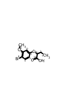 CCC(Oc1ccc(Br)c(OC)c1)C(=O)O